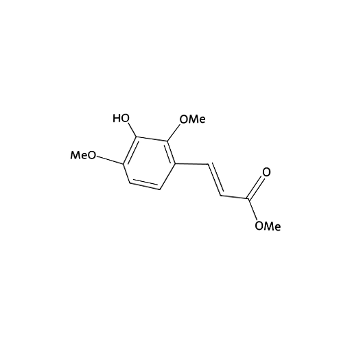 COC(=O)C=Cc1ccc(OC)c(O)c1OC